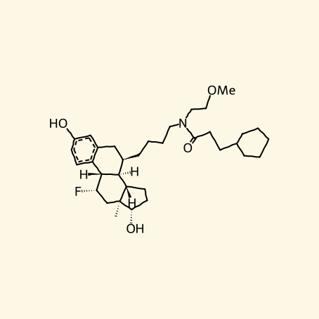 COCCN(CCCC[C@@H]1Cc2cc(O)ccc2[C@@H]2[C@@H]1[C@@H]1CC[C@H](O)[C@@]1(C)C[C@@H]2F)C(=O)CCC1CCCCC1